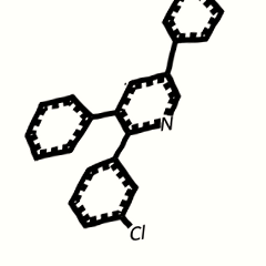 Clc1cccc(-c2ncc(-c3ccccc3)[c]c2-c2ccccc2)c1